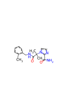 Cc1ccccc1CNC(=O)C(C)(C)n1c[c]nc1C(N)=O